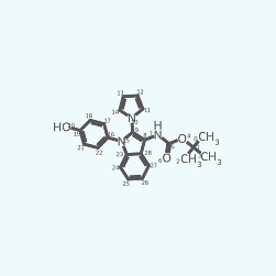 CC(C)(C)OC(=O)Nc1c(-n2cccc2)n(-c2ccc(O)cc2)c2ccccc12